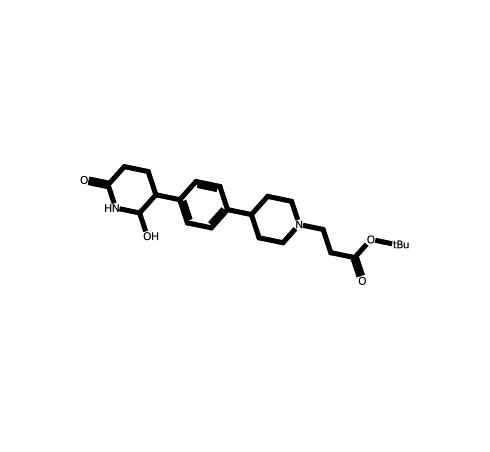 CC(C)(C)OC(=O)CCN1CCC(c2ccc(C3CCC(=O)NC3O)cc2)CC1